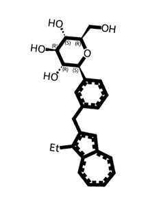 CCc1c(Cc2cccc([C@@H]3O[C@H](CO)[C@@H](O)[C@H](O)[C@H]3O)c2)cc2cccccc1-2